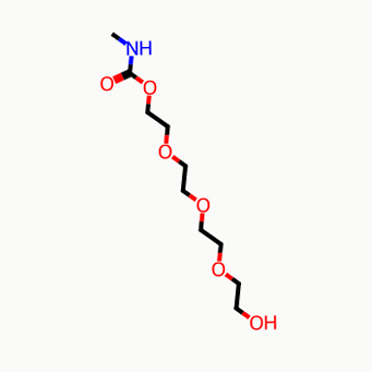 CNC(=O)OCCOCCOCCOCCO